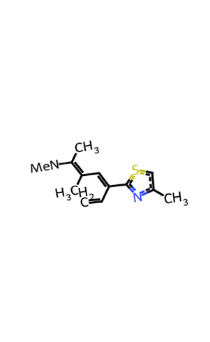 C=C/C(=C\C(C)=C(/C)NC)c1nc(C)cs1